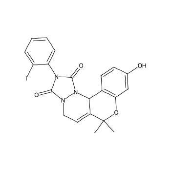 CC1(C)Oc2cc(O)ccc2C2C1=CCn1c(=O)n(-c3ccccc3I)c(=O)n12